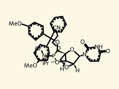 COc1ccc(C(OC[C@]23O[C@@H](n4ccc(=O)[nH]c4=O)[C@H](O[C@@H]2C)[C@@H]3OP(OCCC#N)N(C(C)C)C(C)C)(c2ccccc2)c2ccc(OC)cc2)cc1